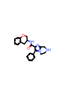 O=C(NC1COc2ccccc2C1)c1nc2n(c1-c1ccccc1)CCNC2